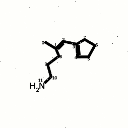 C/C(=C/C1=CCCC1)CCCN